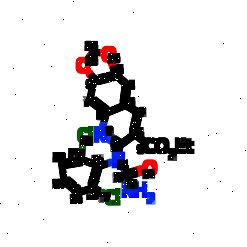 CCOC(=O)c1cc2cc3c(cc2nc1N(C(N)=O)c1c(Cl)cccc1Cl)OCO3